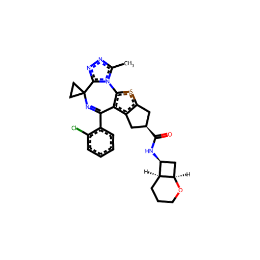 Cc1nnc2n1-c1sc3c(c1C(c1ccccc1Cl)=NC21CC1)C[C@H](C(=O)N[C@H]1C[C@H]2OCCC[C@@H]12)C3